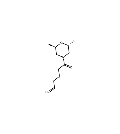 C[C@@H]1CN(C(=O)CSCC=N)C[C@@H](C)O1